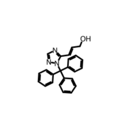 OC/C=C/c1ncnn1C(c1ccccc1)(c1ccccc1)c1ccccc1